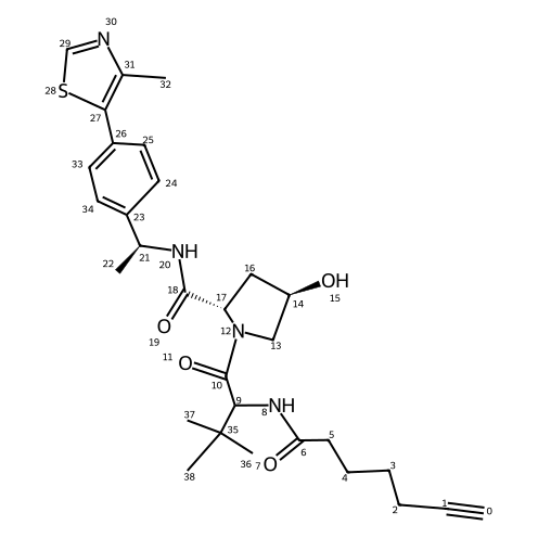 C#CCCCCC(=O)NC(C(=O)N1C[C@H](O)C[C@H]1C(=O)N[C@@H](C)c1ccc(-c2scnc2C)cc1)C(C)(C)C